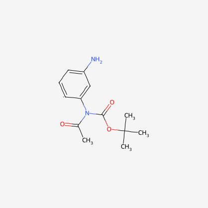 CC(=O)N(C(=O)OC(C)(C)C)c1[c]ccc(N)c1